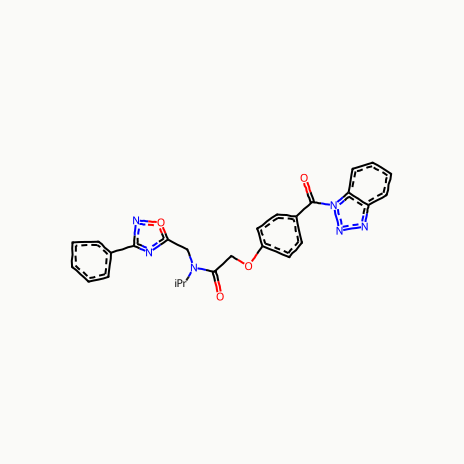 CC(C)N(Cc1nc(-c2ccccc2)no1)C(=O)COc1ccc(C(=O)n2nnc3ccccc32)cc1